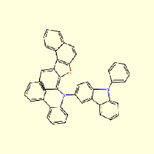 c1ccc(-c2ccccc2N(c2ccc3c(c2)c2ccccc2n3-c2ccccc2)c2cccc3c2sc2ccc4ccccc4c23)cc1